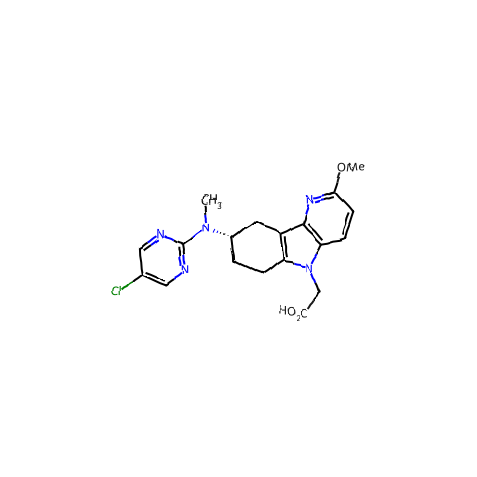 COc1ccc2c(n1)c1c(n2CC(=O)O)CC[C@H](N(C)c2ncc(Cl)cn2)C1